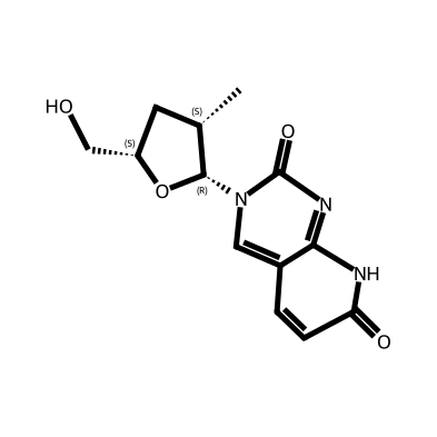 C[C@H]1C[C@@H](CO)O[C@H]1n1cc2ccc(=O)[nH]c2nc1=O